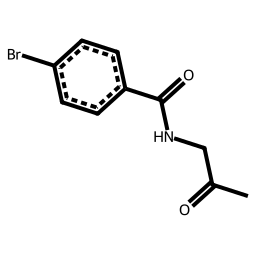 CC(=O)CNC(=O)c1ccc(Br)cc1